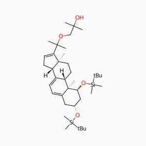 CC(C)(O)COC(C)(C)C1=CC[C@H]2C3=CC=C4C[C@@H](O[Si](C)(C)C(C)(C)C)C[C@H](O[Si](C)(C)C(C)(C)C)[C@]4(C)[C@H]3CC[C@]12C